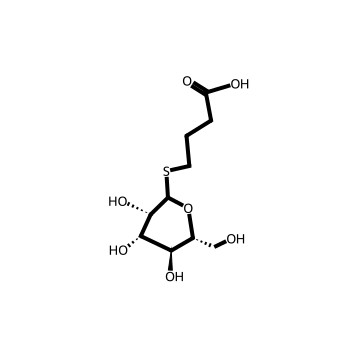 O=C(O)CCCSC1O[C@H](CO)[C@@H](O)[C@H](O)[C@@H]1O